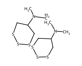 CN(C)C1CSSSC1.CN(C)C1CSSSC1